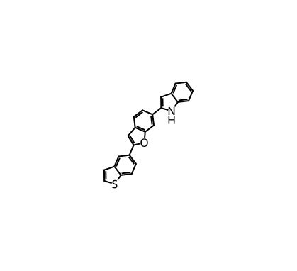 c1ccc2[nH]c(-c3ccc4cc(-c5ccc6sccc6c5)oc4c3)cc2c1